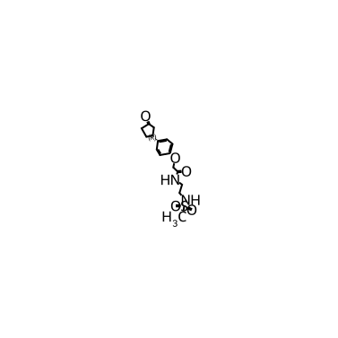 CS(=O)(=O)NCCNC(=O)COc1ccc([C@@H]2CCC(=O)C2)cc1